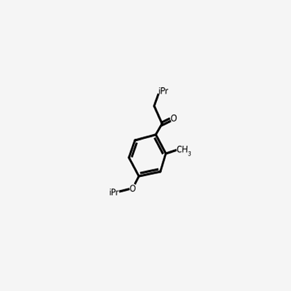 Cc1cc(OC(C)C)ccc1C(=O)CC(C)C